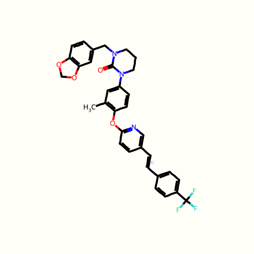 Cc1cc(N2CCCN(Cc3ccc4c(c3)OCO4)C2=O)ccc1Oc1ccc(/C=C/c2ccc(C(F)(F)F)cc2)cn1